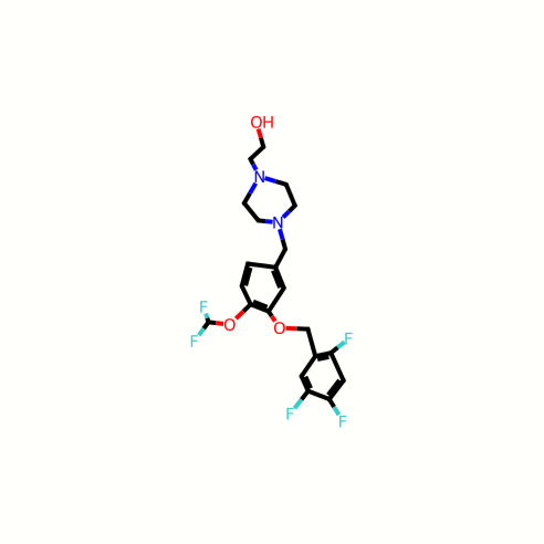 OCCN1CCN(Cc2ccc(OC(F)F)c(OCc3cc(F)c(F)cc3F)c2)CC1